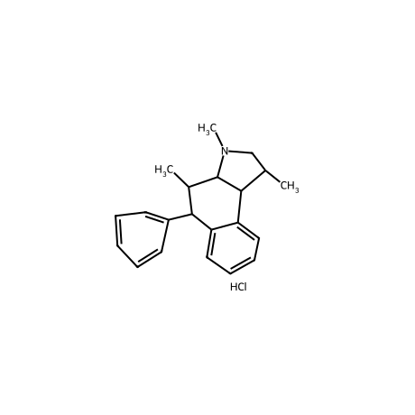 CC1CN(C)C2C(C)C(c3ccccc3)c3ccccc3C12.Cl